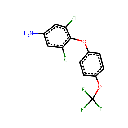 Nc1cc(Cl)c(Oc2ccc(OC(F)(F)F)cc2)c(Cl)c1